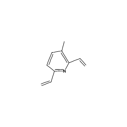 C=Cc1ccc(C)c(C=C)n1